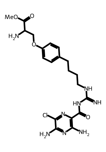 COC(=O)C(N)COc1ccc(CCCCNC(=N)NC(=O)c2nc(Cl)c(N)nc2N)cc1